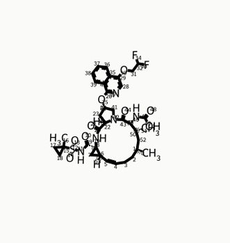 C[C@H]1CCC=C[C@@H]2C[C@@]2(C(=O)NS(=O)(=O)C2(C)CC2)NC(=O)[C@@H]2C[C@@H](Oc3ncc(OCC(F)F)c4ccccc34)CN2C(=O)[C@@H](NC(=O)O)[C@H](C)C1